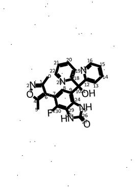 Cc1noc(C)c1-c1cc(C(O)(c2ccccn2)c2ccccn2)c2[nH]c(=O)[nH]c2c1F